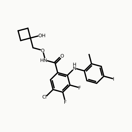 Cc1cc(I)ccc1Nc1c(C(=O)NOCC2(O)CCC2)cc(Cl)c(F)c1F